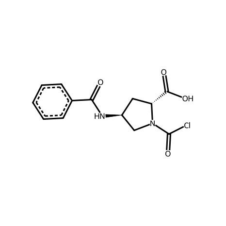 O=C(N[C@H]1C[C@H](C(=O)O)N(C(=O)Cl)C1)c1ccccc1